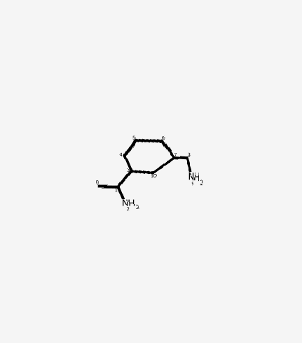 CC(N)C1CCCC(CN)C1